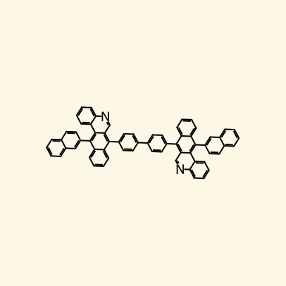 c1ccc2cc(-c3c4ccccc4c(-c4ccc(-c5ccc(-c6c7ccccc7c(-c7ccc8ccccc8c7)c7c6cnc6ccccc67)cc5)cc4)c4cnc5ccccc5c34)ccc2c1